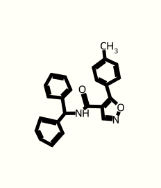 Cc1ccc(-c2oncc2C(=O)NC(c2ccccc2)c2ccccc2)cc1